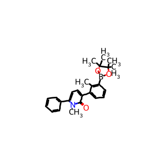 Cc1c(B2OC(C)(C)C(C)(C)O2)cccc1-c1ccc(-c2ccccc2)n(C)c1=O